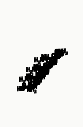 COc1ccc(NC(=O)[C@@H](CCCCC(=N)N)NC(=O)c2cc(NC(=O)[C@@H](CCCNC(=N)N)NC(=O)c3cc(NC(=O)[C@@H](CCCNC(=N)N)NC(=O)c4cc(NC(=O)[C@H](N)CCC(=O)O)ccc4OC)ccc3OC)ccc2OC)cc1C(N)=O